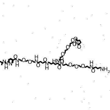 CC(C)=NNc1ccc(C(=O)NCCOCCOCCNC(=O)CCC(=O)NCCCCC(NC(=O)CCOCCCOCCC(=O)ON2C(=O)CCC2=O)C(=O)NCCCOCCOCCOCCCNC(=O)CCCN)cn1